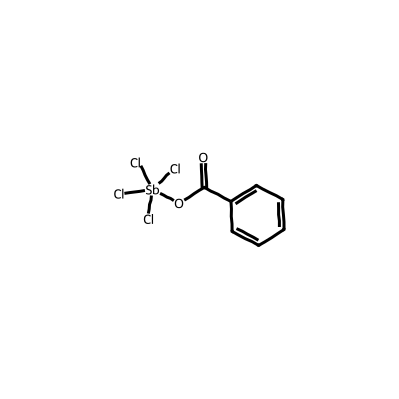 O=C([O][Sb]([Cl])([Cl])([Cl])[Cl])c1ccccc1